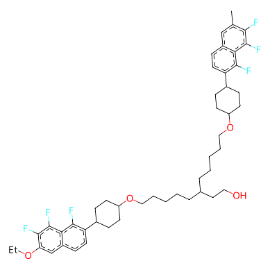 CCOc1cc2ccc(C3CCC(OCCCCCC(CCO)CCCCCOC4CCC(c5ccc6cc(C)c(F)c(F)c6c5F)CC4)CC3)c(F)c2c(F)c1F